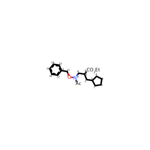 CCOC(=O)C(CC1CCCC1)CN(OCc1ccccc1)C(C)=O